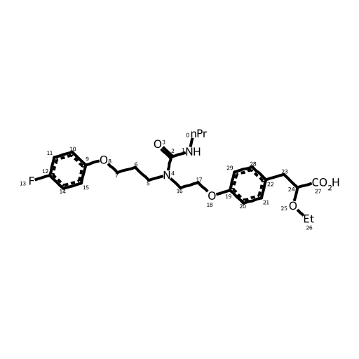 CCCNC(=O)N(CCCOc1ccc(F)cc1)CCOc1ccc(CC(OCC)C(=O)O)cc1